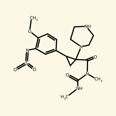 CNC(=O)N(C)C(=O)C1(N2CCNCC2)CC1c1ccc(OC)c(N=S(=O)=O)c1